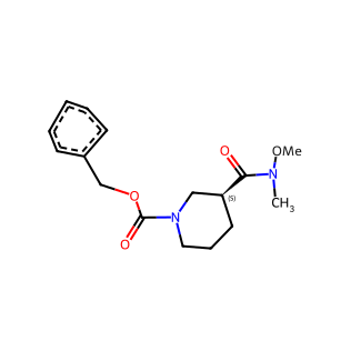 CON(C)C(=O)[C@H]1CCCN(C(=O)OCc2ccccc2)C1